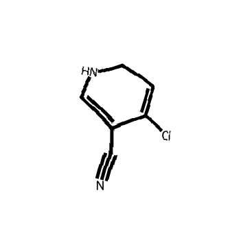 N#CC1=CNCC=C1Cl